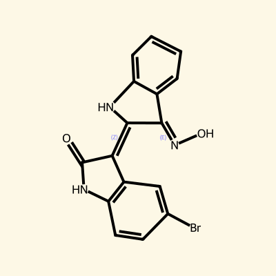 O=C1Nc2ccc(Br)cc2/C1=C1/Nc2ccccc2/C1=N\O